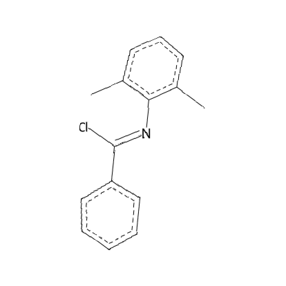 Cc1cccc(C)c1N=C(Cl)c1ccccc1